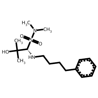 CN(C)S(=O)(=O)[C@H](N[CH]CCCc1ccccc1)C(C)(C)O